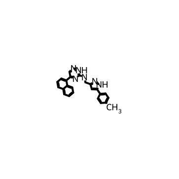 Cc1ccc(-c2cc(CNc3nncc(-c4cccc5ccccc45)n3)n[nH]2)cc1